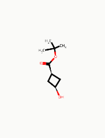 CC(C)(C)OC(=O)[C@H]1C[C@@H](O)C1